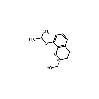 CC(C)Oc1cccc2c1O[C@@H](CO)CC2